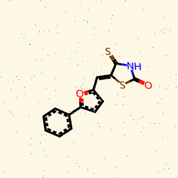 O=C1NC(=S)C(=Cc2ccc(-c3ccccc3)o2)S1